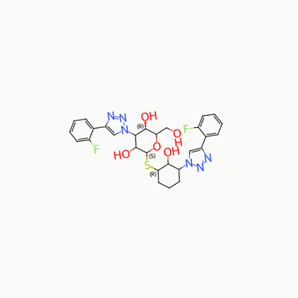 OCC1O[C@@H](S[C@@H]2CCCC(n3cc(-c4ccccc4F)nn3)C2O)C(O)C(n2cc(-c3ccccc3F)nn2)[C@H]1O